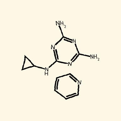 Nc1nc(N)nc(NC2CC2)n1.c1ccncc1